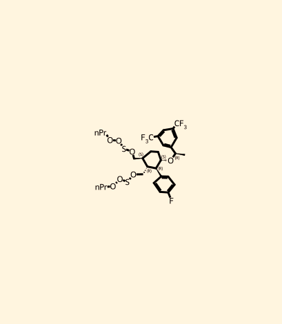 CCCOOSOC[C@H]1CC[C@H](O[C@H](C)c2cc(C(F)(F)F)cc(C(F)(F)F)c2)[C@@H](c2ccc(F)cc2)[C@@H]1COSOOCCC